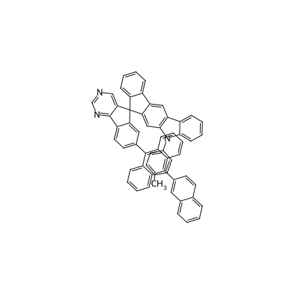 Cc1ccc(-n2c3ccccc3c3cc4c(cc32)C2(c3ccccc3-4)c3cc(-c4c5ccccc5c(-c5ccc6ccccc6c5)c5ccccc45)ccc3-c3ncncc32)cc1